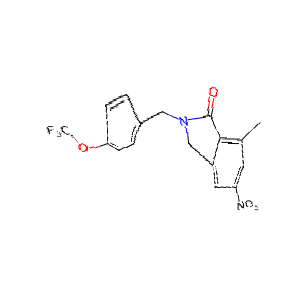 Cc1cc([N+](=O)[O-])cc2c1C(=O)N(Cc1ccc(OC(F)(F)F)cc1)C2